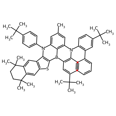 Cc1cc2c3c(c1)N(c1ccc(C(C)(C)C)cc1)c1c(sc4cc5c(cc14)C(C)(C)CCC5(C)C)B3c1cc(C(C)(C)C)ccc1N2c1ccc(C(C)(C)C)cc1-c1ccccc1